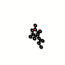 c1ccc(B2c3cc4c(cc3-c3cc5c6ccccc6n(-c6cccc(-c7ccccc7)c6)c5cc3N2c2nc(-c3ccccc3)nc(-c3ccccc3)n2)c2ccccc2n4-c2cccc(-c3ccccc3)c2)cc1